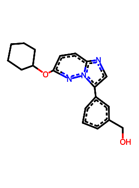 OCc1cccc(-c2cnc3ccc(OC4CCCCC4)nn23)c1